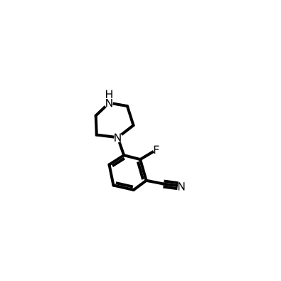 N#Cc1cccc(N2CCNCC2)c1F